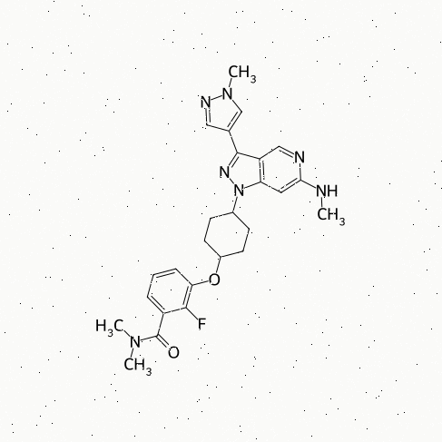 CNc1cc2c(cn1)c(-c1cnn(C)c1)nn2C1CCC(Oc2cccc(C(=O)N(C)C)c2F)CC1